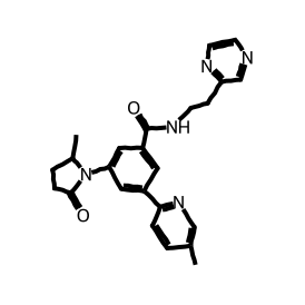 Cc1ccc(-c2cc(C(=O)NCCc3cnccn3)cc(N3C(=O)CCC3C)c2)nc1